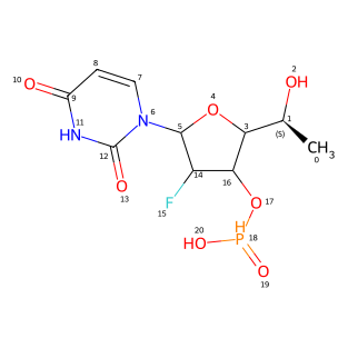 C[C@H](O)C1OC(n2ccc(=O)[nH]c2=O)C(F)C1O[PH](=O)O